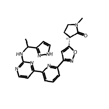 CC(Nc1nccc(-c2cccc(-c3cc([C@@H]4CCN(C)C4=O)on3)n2)n1)c1cc[nH]n1